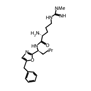 CNC(=N)NCCC[C@@H](N)C(=O)N[C@@H](CC(C)C)c1ncc(Cc2ccccc2)o1